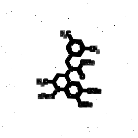 CCCCCN1c2cc(OC)c(OC)cc2C(N(Cc2cc(C(F)(F)F)cc(C(F)(F)F)c2)C(=O)OC)CC1C